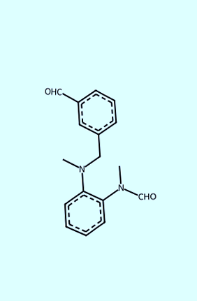 CN(C=O)c1ccccc1N(C)Cc1cccc(C=O)c1